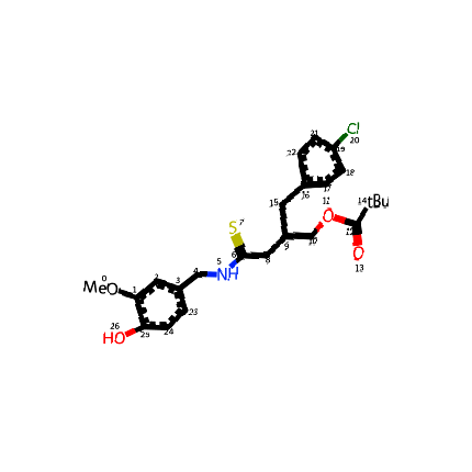 COc1cc(CNC(=S)CC(COC(=O)C(C)(C)C)Cc2ccc(Cl)cc2)ccc1O